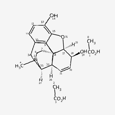 CC(=O)O.CC(=O)O.CN1CC[C@]23c4c5ccc(O)c4O[C@H]2[C@@H](O)C=C[C@H]3[C@H]1C5